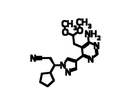 COC(Cc1c(N)ncnc1-c1cnn([C@H](CC#N)C2CCCC2)c1)OC